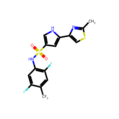 Cc1nc(-c2cc(S(=O)(=O)Nc3cc(F)c(C(F)(F)F)cc3F)c[nH]2)cs1